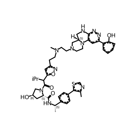 Cc1ncsc1-c1ccc([C@H](C)NC(=O)[C@@H]2C[C@@H](O)CN2C(=O)C(c2cc(CCN(C)CCN3CCN4c5cc(-c6ccccc6O)nnc5NC[C@H]4C3)no2)C(C)C)cc1